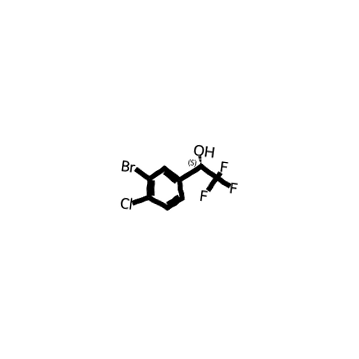 O[C@@H](c1ccc(Cl)c(Br)c1)C(F)(F)F